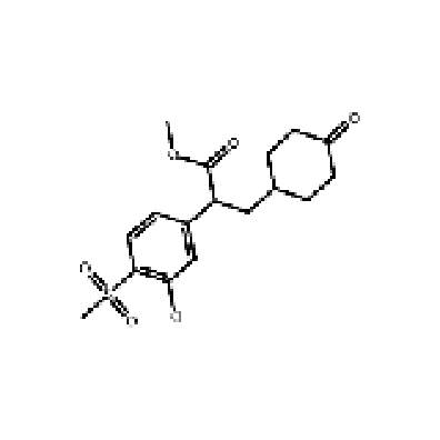 COC(=O)C(CC1CCC(=O)CC1)c1ccc(S(C)(=O)=O)c(Cl)c1